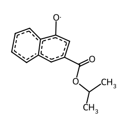 CC(C)OC(=O)c1cc([O])c2ccccc2c1